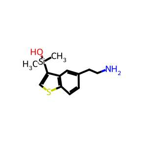 C[Si](C)(O)c1csc2ccc(CCN)cc12